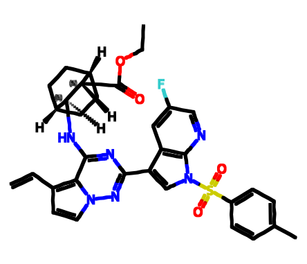 C=Cc1ccn2nc(-c3cn(S(=O)(=O)c4ccc(C)cc4)c4ncc(F)cc34)nc(N[C@H]3[C@H]4CC[C@H](CC4)[C@@H]3C(=O)OCC)c12